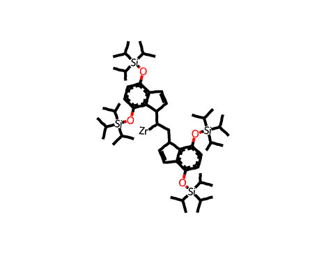 CC(C)[Si](Oc1ccc(O[Si](C(C)C)(C(C)C)C(C)C)c2c1C=CC2C[CH]([Zr])C1C=Cc2c(O[Si](C(C)C)(C(C)C)C(C)C)ccc(O[Si](C(C)C)(C(C)C)C(C)C)c21)(C(C)C)C(C)C